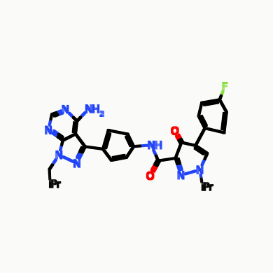 CC(C)Cn1nc(-c2ccc(NC(=O)c3nn(C(C)C)cc(-c4ccc(F)cc4)c3=O)cc2)c2c(N)ncnc21